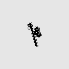 CCCCCCCCCCCCCC(=O)OC(C)C.c1cnc2c(c1)ccc1cccnc12